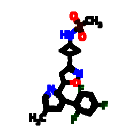 Cc1cnc(C2CC(C3CC(NS(C)(=O)=O)C3)=NO2)c(-c2c(F)cc(F)cc2F)c1